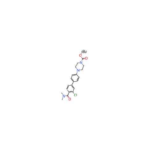 CN(C)C(=O)c1ccc(-c2ccc(N3CCN(C(=O)OC(C)(C)C)CC3)cc2)cc1Cl